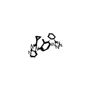 Cc1c([C@@H]2CCCC[C@H]2c2nnn[nH]2)cccc1-n1c(C2CC2)nc2ncccc21